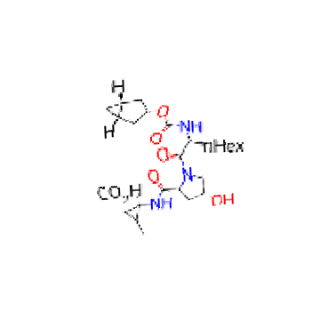 CCCCCC[C@H](NC(=O)O[C@@H]1C[C@@H]2C[C@@H]2C1)C(=O)N1C[C@H](O)C[C@H]1C(=O)N[C@]1(C(=O)O)CC1C